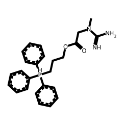 CN(CC(=O)OCCC[PH](c1ccccc1)(c1ccccc1)c1ccccc1)C(=N)N